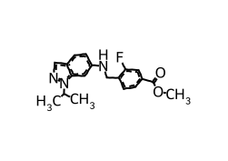 COC(=O)c1ccc(CNc2ccc3cnn(C(C)C)c3c2)c(F)c1